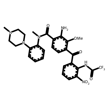 COc1c(C(=O)c2cccc([N+](=O)[O-])c2NC(=O)C(F)(F)F)ccc(C(=O)N(C)c2ccccc2N2CCN(C)CC2)c1N